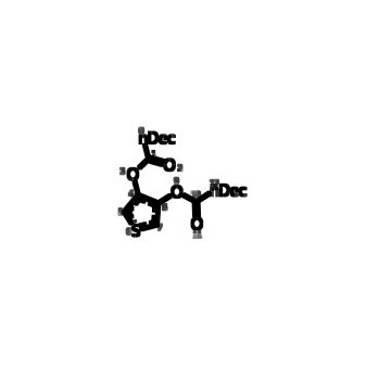 CCCCCCCCCCC(=O)Oc1cscc1OC(=O)CCCCCCCCCC